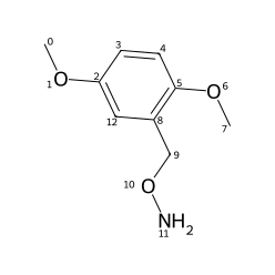 COc1ccc(OC)c(CON)c1